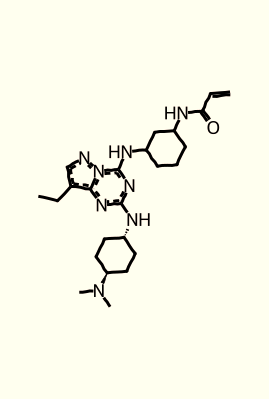 C=CC(=O)NC1CCCC(Nc2nc(N[C@H]3CC[C@H](N(C)C)CC3)nc3c(CC)cnn23)C1